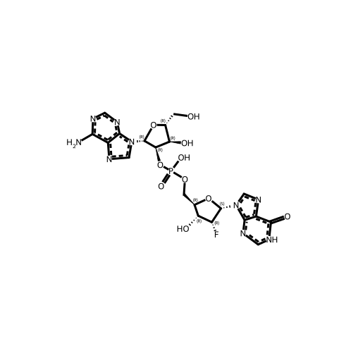 Nc1ncnc2c1ncn2[C@@H]1O[C@H](CO)[C@@H](O)[C@H]1OP(=O)(O)OC[C@H]1O[C@H](n2cnc3c(=O)[nH]cnc32)[C@H](F)[C@@H]1O